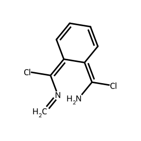 C=N/C(Cl)=c1/cccc/c1=C(/N)Cl